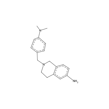 CN(C)c1ccc(CN2CCc3cc(N)ccc3C2)cc1